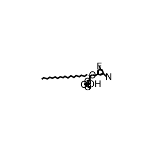 CCCCCCCCCCCCCCCCCC[C@@H](COP(=O)(O)OC)OCc1cc(F)cc(C#N)c1